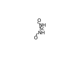 O=C[NH][Sc][NH]C=O